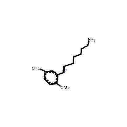 COc1ccc(C=O)cc1/C=C/CCCCCN